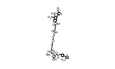 Cc1ncsc1-c1ccc(CNC(=O)[C@@H]2C[C@@H](O)CN2C(=O)[C@@H](NC(=O)CCOCCOCCOCCNC(=O)CCCC(=O)Nc2cc3cc(-c4cncc(N)c4C)c(F)c(N)c3cn2)C(C)(C)C)cc1